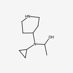 CC(O)N(C1CCNCC1)C1CC1